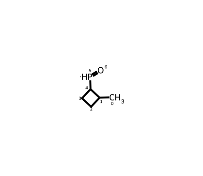 CC1CCC1[PH]=O